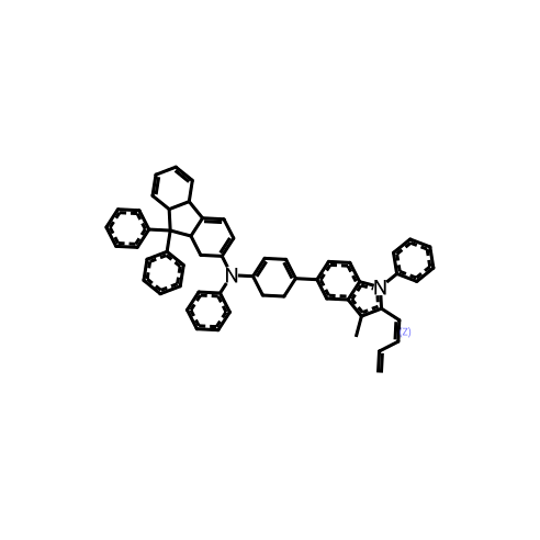 C=C/C=C\c1c(C)c2cc(C3=CC=C(N(C4=CC=C5C6C=CC=CC6C(c6ccccc6)(c6ccccc6)C5C4)c4ccccc4)CC3)ccc2n1-c1ccccc1